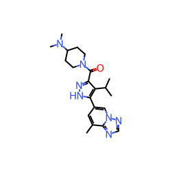 Cc1cc(-c2[nH]nc(C(=O)N3CCC(N(C)C)CC3)c2C(C)C)cn2ncnc12